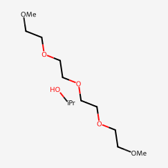 CC(C)O.COCCOCCOCCOCCOC